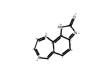 O=c1nc2ccc3cnccnc3c2[nH]1